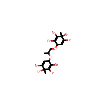 CC(COC1C=C(Br)C(C)(Br)C(Br)=C1Br)OC1C=C(Br)C(C)(Br)C(Br)=C1Br